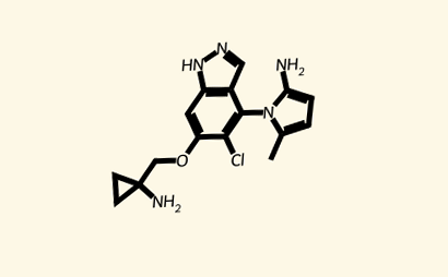 Cc1ccc(N)n1-c1c(Cl)c(OCC2(N)CC2)cc2[nH]ncc12